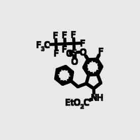 CCOC(=O)NC1Cc2cc(F)c(OS(=O)(=O)C(F)(F)C(F)(F)C(F)(F)C(F)(F)F)cc2C1Cc1ccccc1